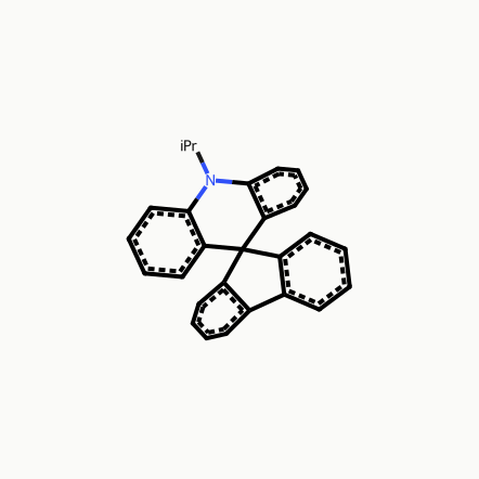 CC(C)N1c2ccccc2C2(c3ccccc3-c3ccccc32)c2ccccc21